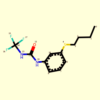 CCCCSc1cccc(NC(=O)NC(F)(F)F)c1